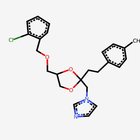 Cc1ccc(CCC2(Cn3ccnc3)OCC(COCc3ccccc3Cl)O2)cc1